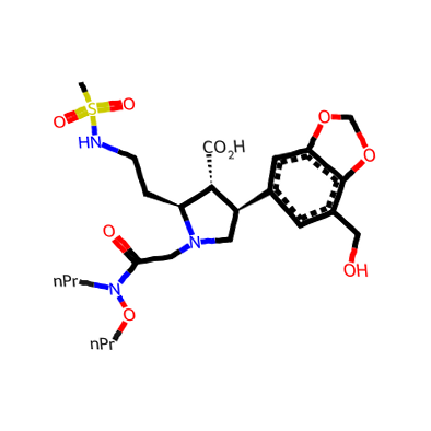 CCCON(CCC)C(=O)CN1C[C@H](c2cc(CO)c3c(c2)OCO3)[C@@H](C(=O)O)[C@@H]1CCNS(C)(=O)=O